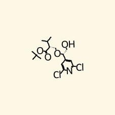 CC(C)[C@H](CO[C@H](CO)c1cc(Cl)nc(Cl)c1)C(=O)OC(C)(C)C